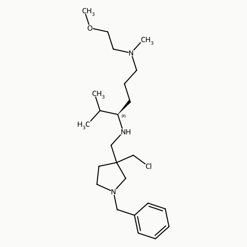 COCCN(C)CCC[C@@H](NCC1(CCl)CCN(Cc2ccccc2)C1)C(C)C